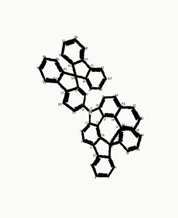 c1ccc(C23c4ccccc4-c4ccc5c(c42)c2c4c3cccc4ccc2n5-c2ccc3c(c2)C2(c4ccccc4-c4ccccc42)c2ccccc2-3)cc1